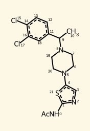 CC(=O)Nc1ncc(N2CCN(C(C)c3ccc(Cl)c(Cl)c3)CC2)s1